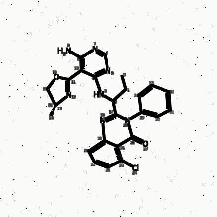 CCC(Nc1ncnc(N)c1C1=N[C@@H](C)CO1)c1nc2cccc(Cl)c2c(=O)n1-c1ccccc1